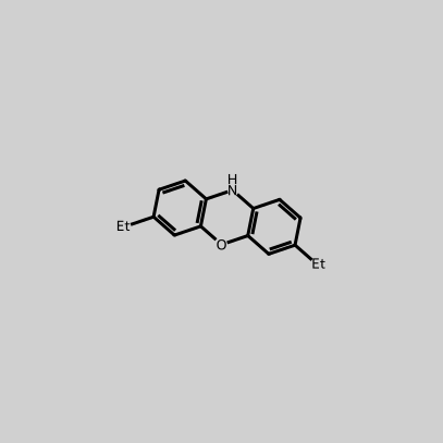 CCc1ccc2c(c1)Oc1cc(CC)ccc1N2